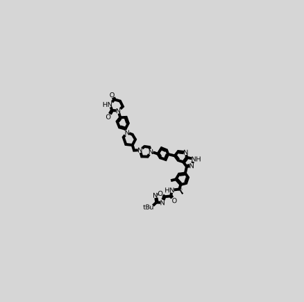 Cc1cc(-c2n[nH]c3ncc(-c4ccc(N5CCN(CC6CCN(c7ccc(N8CCC(=O)NC8=O)cc7)CC6)CC5)cc4)cc23)ccc1[C@@H](C)NC(=O)c1nc(C(C)(C)C)no1